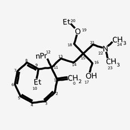 C=C1\C=C/C=C\C=C/C=C(\CC)C1(CCC)CCC(CO)(COCC)CN(C)C